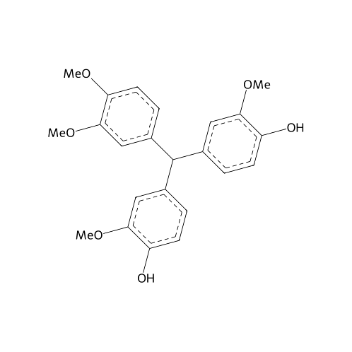 COc1cc(C(c2ccc(O)c(OC)c2)c2ccc(OC)c(OC)c2)ccc1O